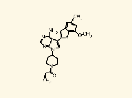 C=CC(=O)N1CCC(n2cc(-c3cc4cc(C)cc(OC)c4s3)c3c(N)ncnc32)CC1